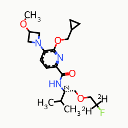 [2H]C([2H])(F)COC[C@@H](NC(=O)c1ccc(N2CC(OC)C2)c(OCC2CC2)n1)C(C)C